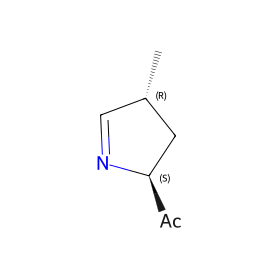 CC(=O)[C@@H]1C[C@@H](C)C=N1